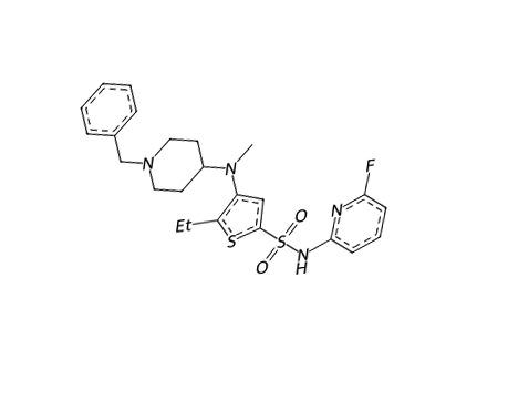 CCc1sc(S(=O)(=O)Nc2cccc(F)n2)cc1N(C)C1CCN(Cc2ccccc2)CC1